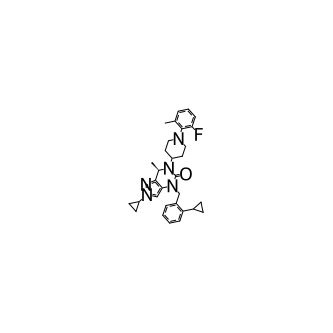 Cc1cccc(F)c1N1CCC(N2C(=O)N(Cc3ccccc3C3CC3)c3cn(C4CC4)nc3[C@H]2C)CC1